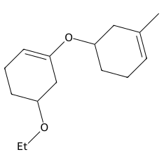 CCOC1CCC=C(OC2CCC=C(C)C2)C1